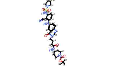 CC(C)(C)OC(=O)N1CCC(NC(=O)CCCn2cnc3ccc(Nc4cccc(NS(=O)(=O)N5CC[C@@H](F)C5)c4C#N)cc3c2=O)CC1